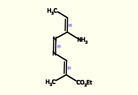 C\C=C(N)/N=N\C=C(/C)C(=O)OCC